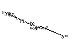 O=C(O)CCCCCCCCCCCCCCC(=O)NCC1CCC(C(=O)N[C@@H](CCC(=O)NCCOCCOCC(=O)NCCOCCOCC(=O)NCCNC(=O)CBr)C(=O)O)CC1